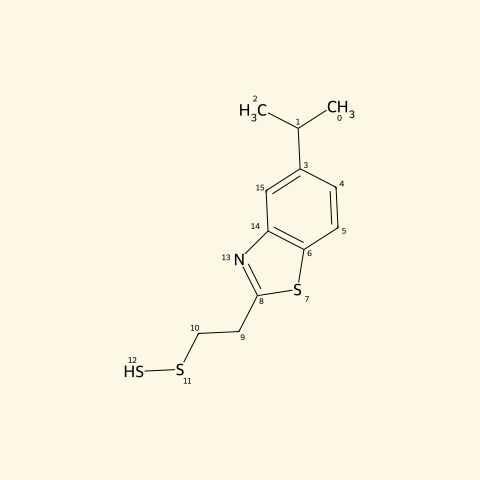 CC(C)c1ccc2sc(CCSS)nc2c1